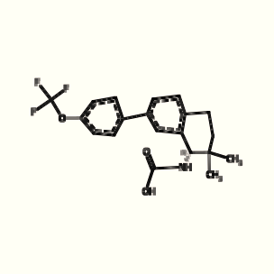 CC1(C)CCc2ccc(-c3ccc(OC(F)(F)F)cc3)cc2[C@H]1NC(=O)O